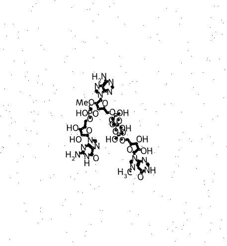 COC1C(OP(O)(=S)OCC2OC(n3cnc4c(=O)[nH]c(N)nc43)C(O)C2O)C(COP(=O)(O)OP(=O)(O)OP(=O)(O)OCC2OC(n3c[n+](C)c4c(=O)[nH]cnc43)C(O)C2O)OC1n1cnc2c(N)ncnc21